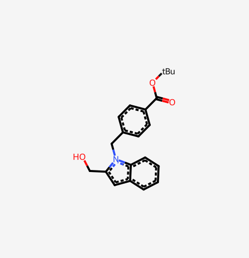 CC(C)(C)OC(=O)c1ccc(Cn2c(CO)cc3ccccc32)cc1